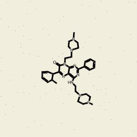 CC1C=CC=CC1c1nc2c(NCCN3CCN(C)CC3)nc(-c3ccccc3)nc2n(CCN2CCN(C)CC2)c1=O